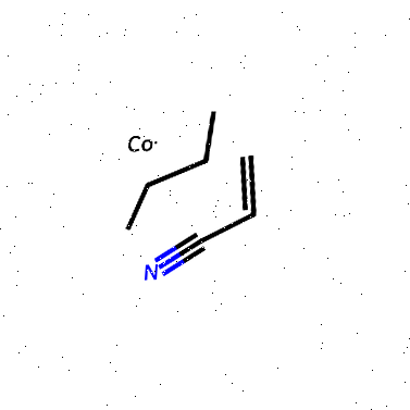 C=CC#N.CCCC.[Co]